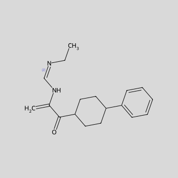 C=C(N/C=N\CC)C(=O)C1CCC(c2ccccc2)CC1